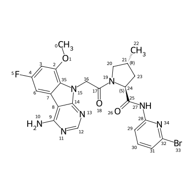 COc1cc(F)cc2c3c(N)ncnc3n(CC(=O)N3C[C@H](C)C[C@H]3C(=O)Nc3cccc(Br)n3)c12